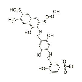 CCS(=O)(=O)c1ccc(O)c(N=Nc2cc(O)c(N=Nc3c(SOOO)cc4cc(S(=O)(=O)O)c(N)cc4c3O)cc2O)c1